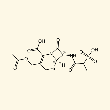 CC(=O)OCC1=C(C(=O)O)N2C(=O)[C@@H](NC(=O)C(C)S(=O)(=O)O)[C@H]2SC1